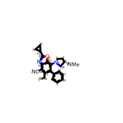 CN[C@H]1CCN(c2c(-c3ccccc3)c(CF)c(C#N)c3nc(C4CC4)oc23)C1